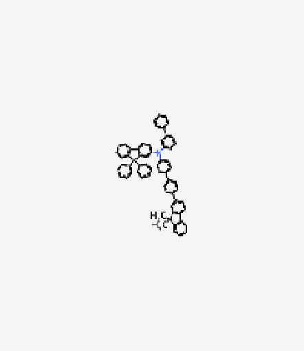 CC1(C)c2ccccc2-c2ccc(-c3ccc(-c4ccc(N(c5cccc(-c6ccccc6)c5)c5ccc6c(c5)C(c5ccccc5)(c5ccccc5)c5ccccc5-6)cc4)cc3)cc21